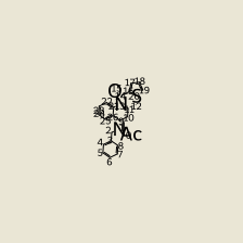 CC(=O)N(Cc1ccccc1)[C@@H]1C[C@@H](C)N(C(=O)c2cccs2)c2ccccc21